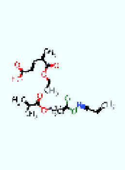 C=C(C)C(=O)OC.C=C(C=CC(=O)O)C(=O)OCC.C=C(Cl)Cl.C=CC#N